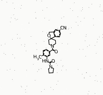 Cc1ccc(C(=O)N2CCC3(CC2)OCc2cc(C#N)ccc23)cc1NC(=O)N1CCCC1